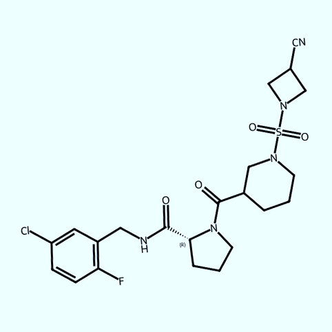 N#CC1CN(S(=O)(=O)N2CCCC(C(=O)N3CCC[C@@H]3C(=O)NCc3cc(Cl)ccc3F)C2)C1